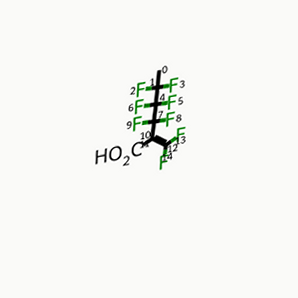 CC(F)(F)C(F)(F)C(F)(F)C(C(=O)O)=C(F)F